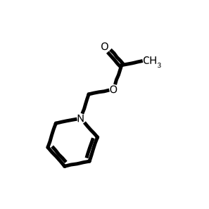 CC(=O)OCN1C=CC=CC1